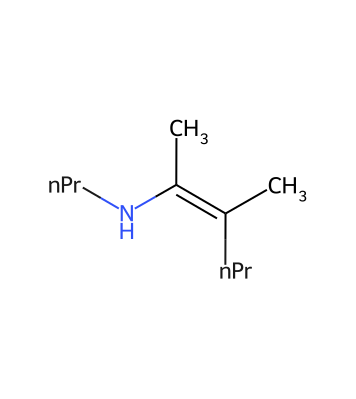 CCCN/C(C)=C(/C)CCC